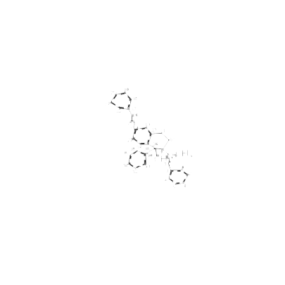 CN(Cc1ccccc1)C1CCc2cc(OCc3ccccc3)ccc2C1(C)c1ccccc1